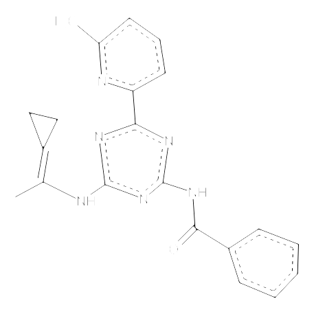 CC(Nc1nc(NC(=O)c2ccccc2)nc(-c2cccc(C(F)(F)F)n2)n1)=C1CC1